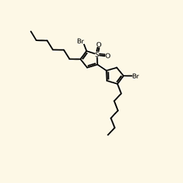 CCCCCCC1=C(Br)CC(C2=CC(CCCCCC)=C(Br)S2(=O)=O)=C1